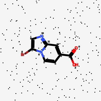 O=C(O)c1ccn2c(Br)cnc2c1